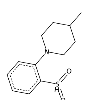 CC1CCN(c2ccccc2[SH](=O)=O)CC1